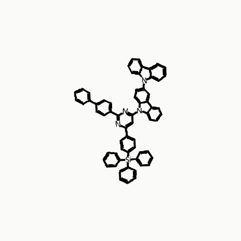 c1ccc(-c2ccc(-c3nc(-c4ccc([Si](c5ccccc5)(c5ccccc5)c5ccccc5)cc4)cc(-n4c5ccccc5c5cc(-n6c7ccccc7c7ccccc76)ccc54)n3)cc2)cc1